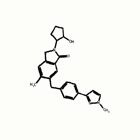 Cc1cc2c(cc1Cc1ccc(-c3ccn(C)n3)cc1)C(=O)N(C1CCCC1O)C2